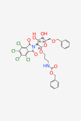 O=C(NCCCO[C@@H]1O[C@H](COCc2ccccc2)[C@@H](O)[C@H](O)[C@H]1N1C(=O)c2c(Cl)c(Cl)c(Cl)c(Cl)c2C1=O)OCc1ccccc1